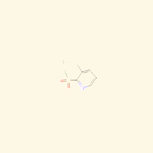 O=C(O)c1cccnc1S(=O)(=O)Cl